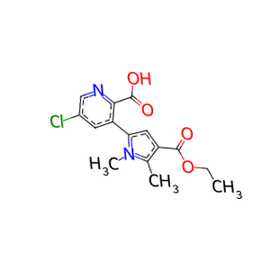 CCOC(=O)c1cc(-c2cc(Cl)cnc2C(=O)O)n(C)c1C